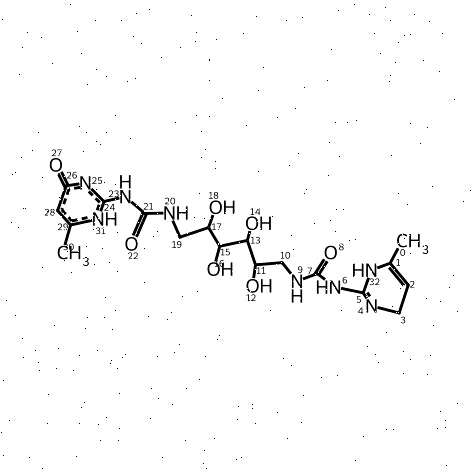 CC1=CCN=C(NC(=O)NCC(O)C(O)C(O)C(O)CNC(=O)Nc2nc(=O)cc(C)[nH]2)N1